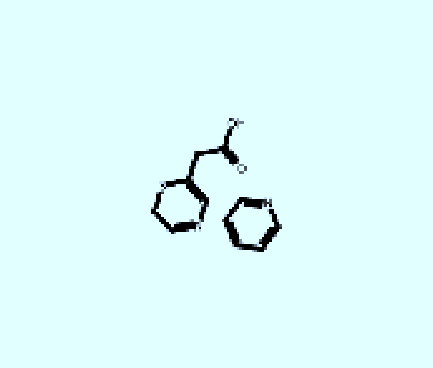 O=C(O)CC1=CN=CCS1.c1ccncc1